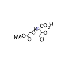 COC(=O)CO/N=C(/C(=O)O)C(=O)CCl